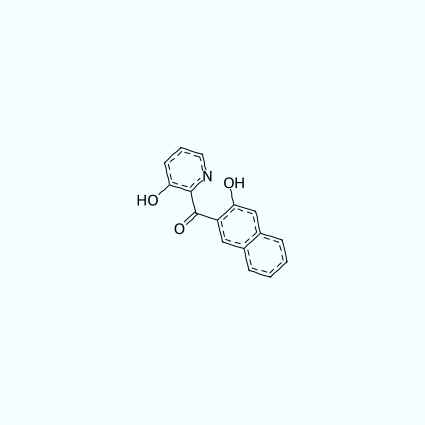 O=C(c1cc2ccccc2cc1O)c1ncccc1O